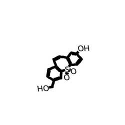 O=S1(=O)c2ccc(O)cc2C=Cc2ccc(CO)cc21